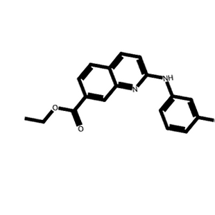 CCOC(=O)c1ccc2ccc(Nc3cccc(Cl)c3)nc2c1